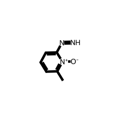 Cc1cccc(N=N)[n+]1[O-]